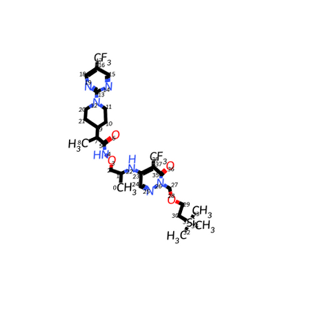 CC(CONC(=O)C(C)C1CCN(c2ncc(C(F)(F)F)cn2)CC1)Nc1cnn(COCC[Si](C)(C)C)c(=O)c1C(F)(F)F